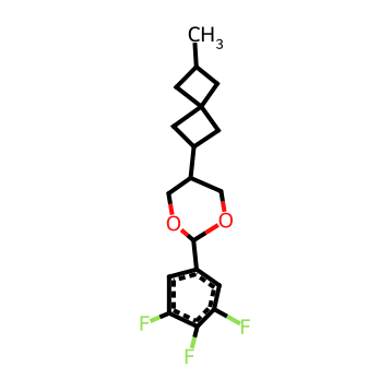 CC1CC2(C1)CC(C1COC(c3cc(F)c(F)c(F)c3)OC1)C2